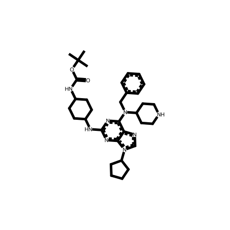 CC(C)(C)OC(=O)NC1CCC(Nc2nc(N(Cc3ccccc3)C3CCNCC3)c3ncn(C4CCCC4)c3n2)CC1